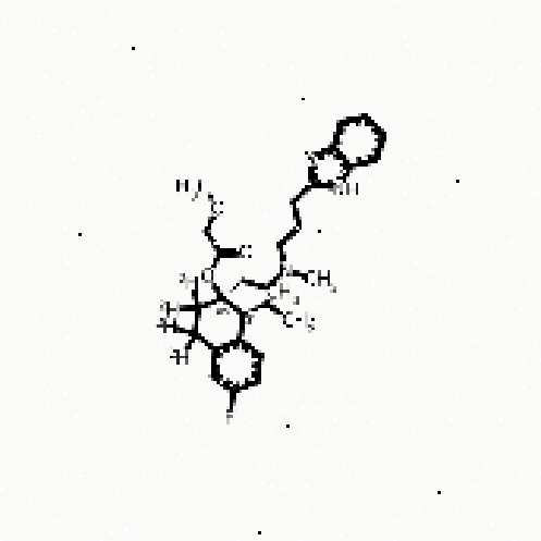 [2H]C1([2H])c2cc(F)ccc2[C@H](C(C)C)[C@](CCN(C)CCCc2nc3ccccc3[nH]2)(OC(=O)COC)C1([2H])[2H]